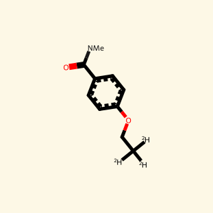 [2H]C([2H])([2H])COc1ccc(C(=O)NC)cc1